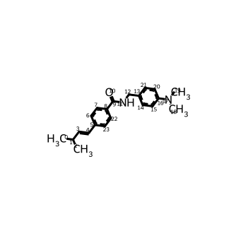 CC(C)/C=C/c1ccc(C(=O)NCc2ccc(N(C)C)cc2)cc1